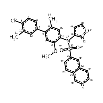 COc1cc(-c2ccc(Cl)c(C)c2)c(C)cc1N(c1ccon1)S(=O)(=O)c1ccc2cnccc2c1